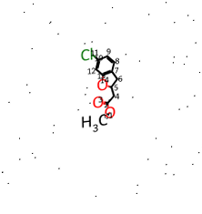 COC(=O)CC1Cc2ccc(Cl)cc2O1